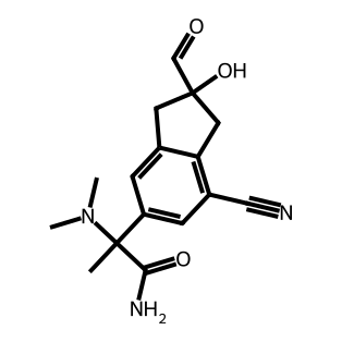 CN(C)C(C)(C(N)=O)c1cc(C#N)c2c(c1)CC(O)(C=O)C2